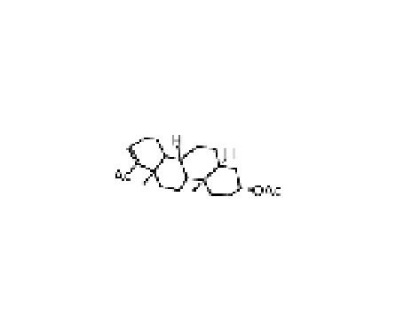 CC(=O)O[C@@H]1CC[C@]2(C)C3CC[C@]4(C)C(C(C)=O)=CCCC4[C@@H]3CC[C@H]2C1